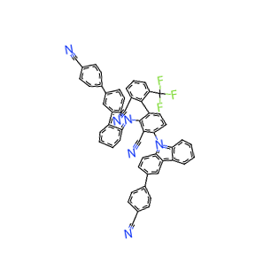 N#Cc1ccc(-c2ccc3c(c2)c2ccccc2n3-c2ccc(-c3c(C#N)cccc3C(F)(F)F)c(-n3c4ccccc4c4cc(-c5ccc(C#N)cc5)ccc43)c2C#N)cc1